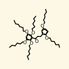 CCCCCCOc1ccc(OCCCCCC)c(CCC(=O)c2c(OCCCCCC)c(OCCCCCC)cc(OCCCCCC)c2OCCCCCC)c1